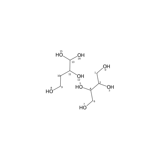 OCC(O)C(O)CO.OCCC(O)C(O)O